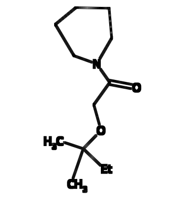 CCC(C)(C)OCC(=O)N1CCCCC1